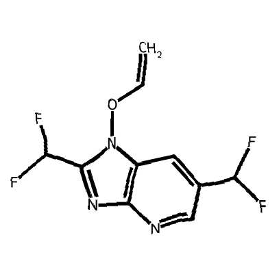 C=COn1c(C(F)F)nc2ncc(C(F)F)cc21